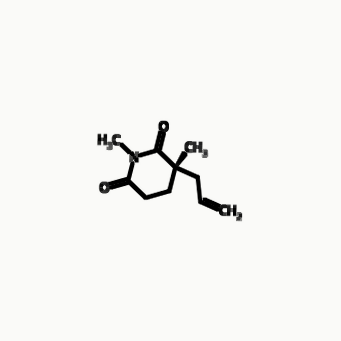 C=CC[C@]1(C)CCC(=O)N(C)C1=O